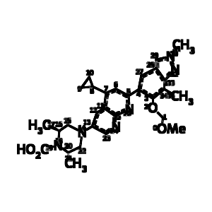 COCOc1c(-c2cc(C3CC3)c3cc(N4C[C@H](C)N(C(=O)O)[C@@H](C)C4)cnc3n2)cc2cn(C)nc2c1C